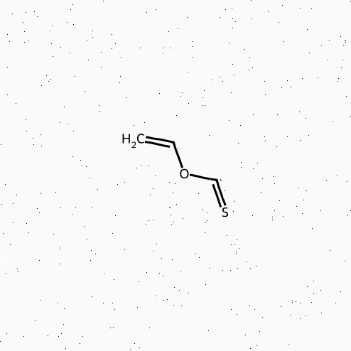 C=CO[C]=S